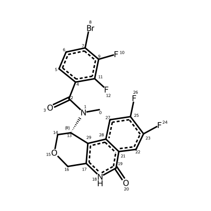 CN(C(=O)c1ccc(Br)c(F)c1F)[C@H]1COCc2[nH]c(=O)c3cc(F)c(F)cc3c21